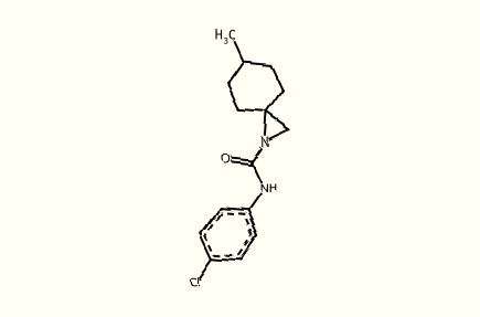 CC1CCC2(CC1)CN2C(=O)Nc1ccc(Cl)cc1